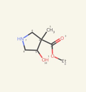 CCOC(=O)C1(C)CNCC1O